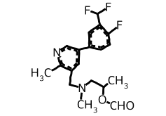 Cc1ncc(-c2ccc(F)c(C(F)F)c2)cc1CN(C)CC(C)OC=O